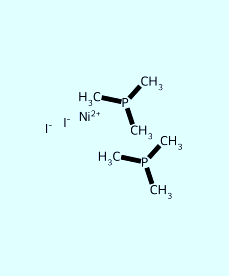 CP(C)C.CP(C)C.[I-].[I-].[Ni+2]